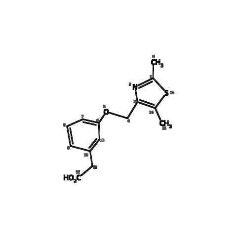 Cc1nc(COc2cccc(CC(=O)O)c2)c(C)s1